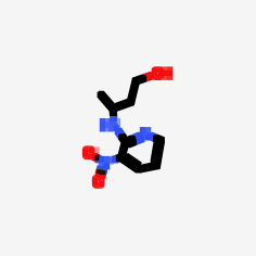 CC(CCO)Nc1ncccc1[N+](=O)[O-]